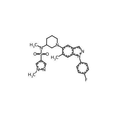 Cc1cc2c(cnn2-c2ccc(F)cc2)cc1N1CCCC(N(C)S(=O)(=O)c2cnn(C)c2)C1